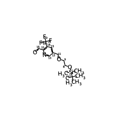 CC(C)(C)[Si](C)(C)OCCOCc1cnc(C=O)c(C(F)(F)F)c1